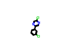 Clc1[c]ccc(-c2cnc(Cl)cn2)c1